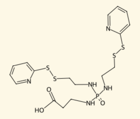 O=C(O)CCNP(=O)(NCCSSc1ccccn1)NCCSSc1ccccn1